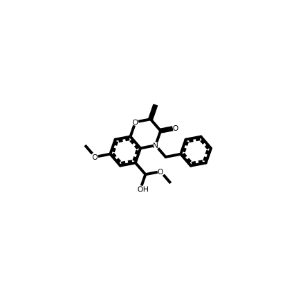 C=C1Oc2cc(OC)cc(C(O)OC)c2N(Cc2ccccc2)C1=O